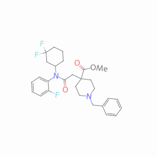 COC(=O)C1(CC(=O)N(c2ccccc2F)C2CCCC(F)(F)C2)CCN(Cc2ccccc2)CC1